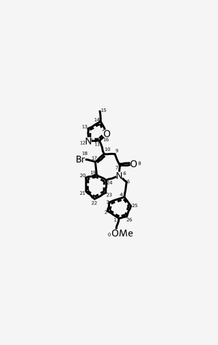 COc1ccc(CN2C(=O)CC(c3ncc(C)o3)=C(Br)c3ccccc32)cc1